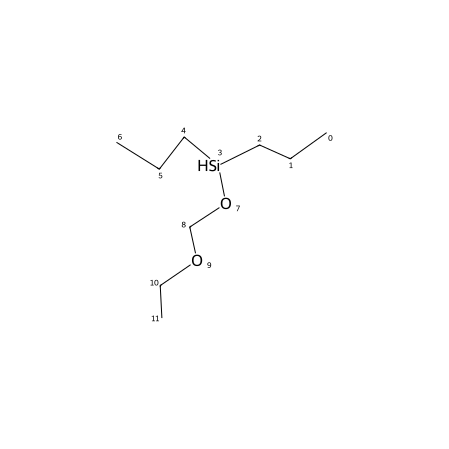 CCC[SiH](CCC)OCOCC